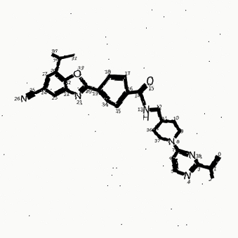 C=C(C)c1nccc(N2CCC(CNC(=O)c3ccc(-c4nc5cc(C#N)cc(C(C)C)c5o4)cc3)CC2)n1